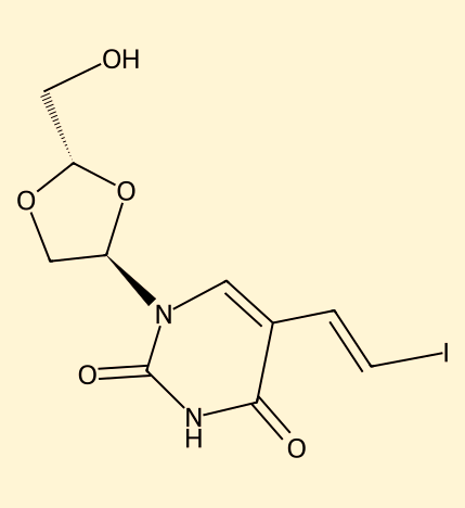 O=c1[nH]c(=O)n([C@H]2CO[C@H](CO)O2)cc1C=CI